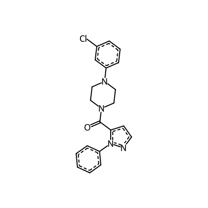 O=C(c1ccnn1-c1ccccc1)N1CCN(c2cccc(Cl)c2)CC1